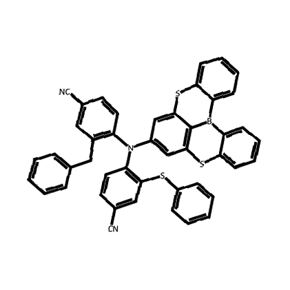 N#Cc1ccc(N(c2cc3c4c(c2)Sc2ccccc2B4c2ccccc2S3)c2ccc(C#N)cc2Sc2ccccc2)c(Cc2ccccc2)c1